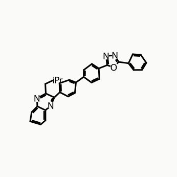 CC(C)Cc1nc2ccccc2nc1-c1ccc(-c2ccc(-c3nnc(-c4ccccc4)o3)cc2)cc1